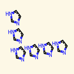 c1c[nH]cn1.c1c[nH]cn1.c1c[nH]cn1.c1c[nH]cn1.c1c[nH]cn1.c1c[nH]cn1